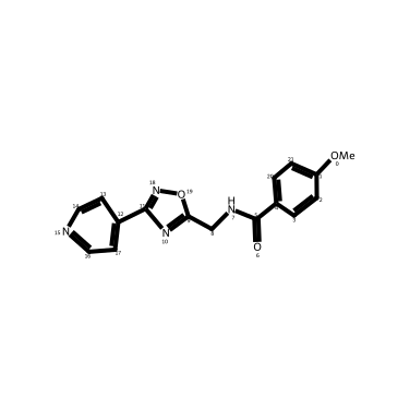 COc1ccc(C(=O)NCc2nc(-c3ccncc3)no2)cc1